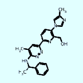 Cc1cn(-c2ccc(-c3cc(C)c(N[C@H](C)c4ccccc4)nn3)nc2CO)cn1